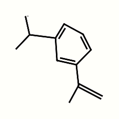 [CH2]C(C)c1cccc(C(=C)C)c1